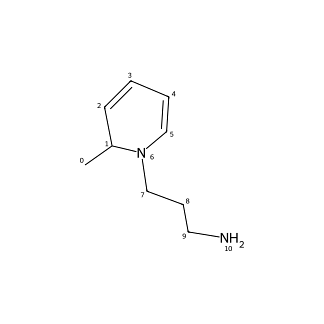 CC1C=CC=CN1CCCN